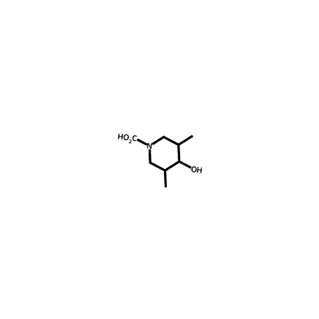 CC1CN(C(=O)O)CC(C)C1O